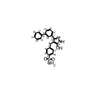 NS(=O)(=O)c1ccc(Cc2c(-c3cccc(-c4ccccc4)c3)n[nH]c2O)cc1